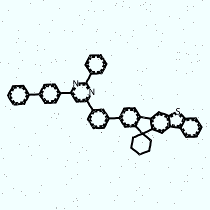 c1ccc(-c2ccc(-c3cc(-c4cccc(-c5ccc6c(c5)C5(CCCCC5)c5cc7c(cc5-6)sc5ccccc57)c4)nc(-c4ccccc4)n3)cc2)cc1